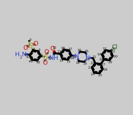 CS(=O)(=O)c1cc(S(=O)(=O)NC(=O)c2ccc(N3CCN(Cc4ccccc4-c4ccc(Cl)cc4)CC3)cc2)ccc1N